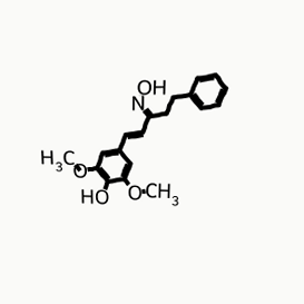 COc1cc(C=CC(CCc2ccccc2)=NO)cc(OC)c1O